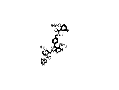 COc1ccc(F)cc1C(=O)NCc1ccc(-c2nn(CC3CN(C(C)=O)CCN3C(=O)n3cncn3)c3ncnc(N)c23)cc1